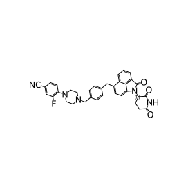 N#Cc1ccc(N2CCN(Cc3ccc(Cc4ccc5c6c(cccc46)C(=O)N5[C@@H]4CCC(=O)NC4=O)cc3)CC2)c(F)c1